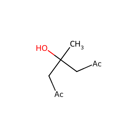 CC(=O)CC(C)(O)CC(C)=O